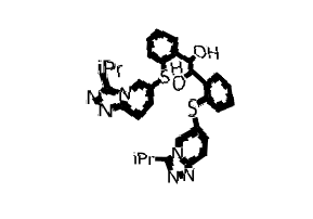 CC(C)c1nnc2ccc(Sc3ccccc3C(O)C(O)c3ccccc3Sc3ccc4nnc(C(C)C)n4c3)cn12